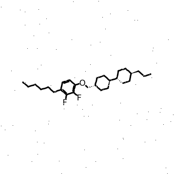 CCCCCCc1ccc(OC[C@H]2CC[C@H]([C@H]3CC[C@H](CCC)CC3)CC2)c(F)c1F